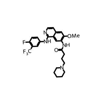 COc1cc2ccnc(Nc3ccc(F)c(C(F)(F)F)c3)c2cc1NC(=O)CCCN1CCCCC1